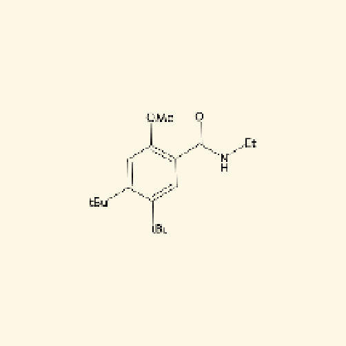 CCNC(=O)c1cc(C(C)(C)C)c(C(C)(C)C)cc1OC